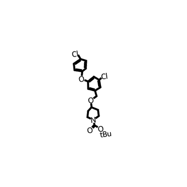 CC(C)(C)OC(=O)N1CCC(OCc2cc(Cl)cc(Oc3ccc(Cl)cc3)c2)CC1